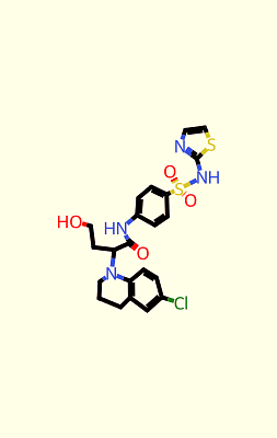 O=C(Nc1ccc(S(=O)(=O)Nc2nccs2)cc1)C(CCO)N1CCCc2cc(Cl)ccc21